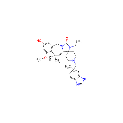 CCN1C(=O)N2Cc3cc(O)cc(OC)c3C(C)(C)C=C2C12CCN(C[C@@]1(C)C=c3[nH]cnc3=CC1)CC2